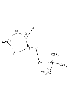 CC(C)(C)CCN1CCNCC1F